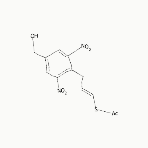 CC(=O)SC=CCc1c([N+](=O)[O-])cc(CO)cc1[N+](=O)[O-]